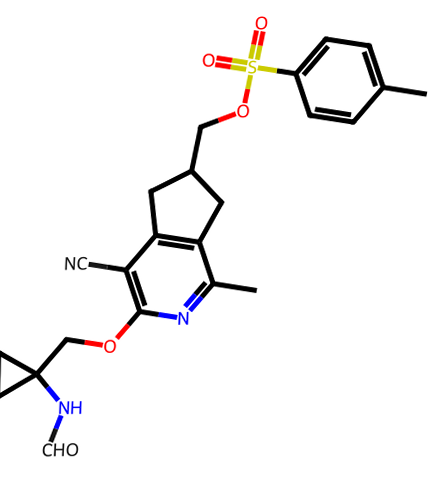 Cc1ccc(S(=O)(=O)OCC2Cc3c(C)nc(OCC4(NC=O)CC4)c(C#N)c3C2)cc1